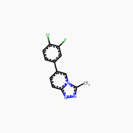 Fc1cc(-c2ccc3nnc(C(F)(F)F)n3c2)ccc1Cl